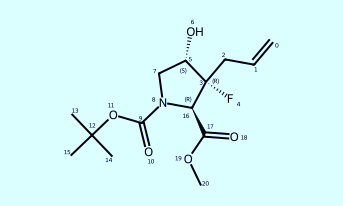 C=CC[C@]1(F)[C@@H](O)CN(C(=O)OC(C)(C)C)[C@@H]1C(=O)OC